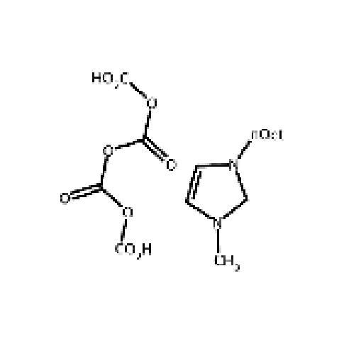 CCCCCCCCN1C=CN(C)C1.O=C(O)OC(=O)OC(=O)OC(=O)O